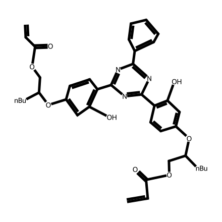 C=CC(=O)OCC(CCCC)Oc1ccc(-c2nc(-c3ccccc3)nc(-c3ccc(OC(CCCC)COC(=O)C=C)cc3O)n2)c(O)c1